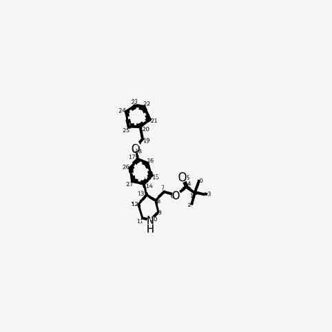 CC(C)(C)C(=O)OCC1CNCCC1c1ccc(OCc2ccccc2)cc1